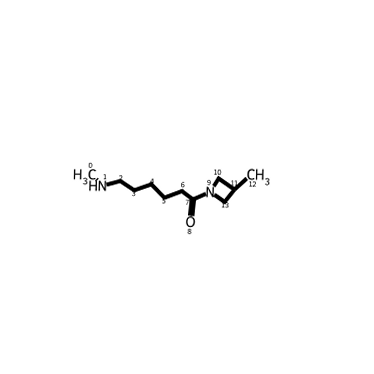 CNCCCCCC(=O)N1CC(C)C1